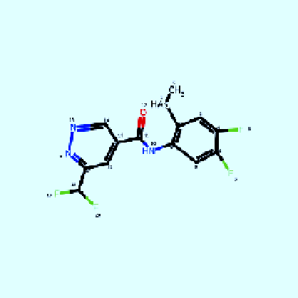 C[AsH]c1cc(F)c(F)cc1NC(=O)c1cnnc(C(F)F)c1